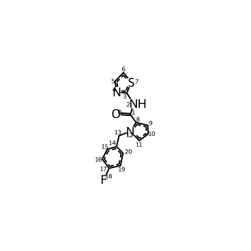 O=C(Nc1nccs1)c1cccn1Cc1ccc(F)cc1